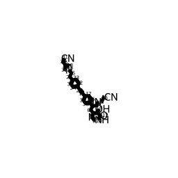 N#CCCNCC(Cc1nc[nH]c(=O)c1O)c1ccc(C#Cc2ccc(CCN3CC(CC#N)C3)cc2)cc1